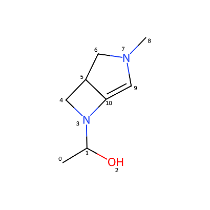 CC(O)N1CC2CN(C)C=C21